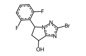 OC1CC(c2c(F)cccc2F)n2nc(Br)nc21